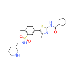 Cc1ccc(-c2sc(NC(=O)C3CCCC3)nc2C)cc1S(=O)(=O)NCC1CCCNC1